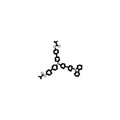 C=C(C)C(=O)Oc1ccc(-c2ccc(N(c3ccc(-c4ccc(OC(=O)C(=C)C)cc4)cc3)c3ccc(-c4ccc(-n5c6ccccc6c6ccccc65)cc4)cc3)cc2)cc1